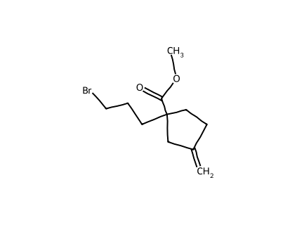 C=C1CCC(CCCBr)(C(=O)OC)C1